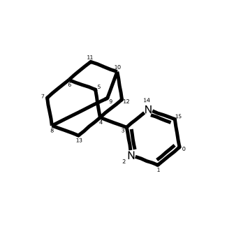 c1cnc(C23CC4CC(CC(C4)C2)C3)nc1